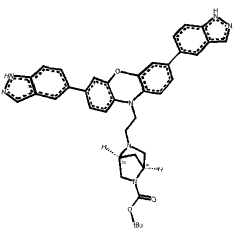 CC(C)(C)OC(=O)N1C[C@@H]2C[C@H]1CN2CCN1c2ccc(-c3ccc4[nH]ncc4c3)cc2Oc2cc(-c3ccc4[nH]ncc4c3)ccc21